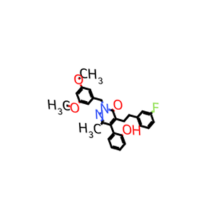 COc1cc(Cn2nc(C)c(-c3ccccc3O)c(CCc3cccc(F)c3)c2=O)cc(OC)c1